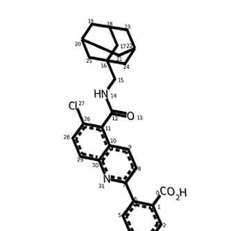 O=C(O)c1ccccc1-c1ccc2c(C(=O)NCC34CC5CC(CC(C5)C3)C4)c(Cl)ccc2n1